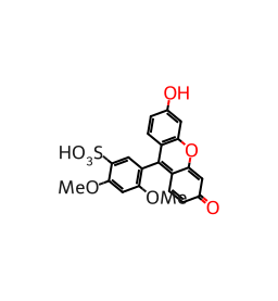 COc1cc(OC)c(S(=O)(=O)O)cc1-c1c2ccc(=O)cc-2oc2cc(O)ccc12